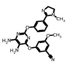 COc1cc(C#N)cc(Oc2nc(Oc3cccc(C4=NCCN4C)c3)nc(N)c2N)c1